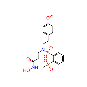 COc1ccc(CCN(CCC(=O)NO)S(=O)(=O)c2ccccc2S(C)(=O)=O)cc1